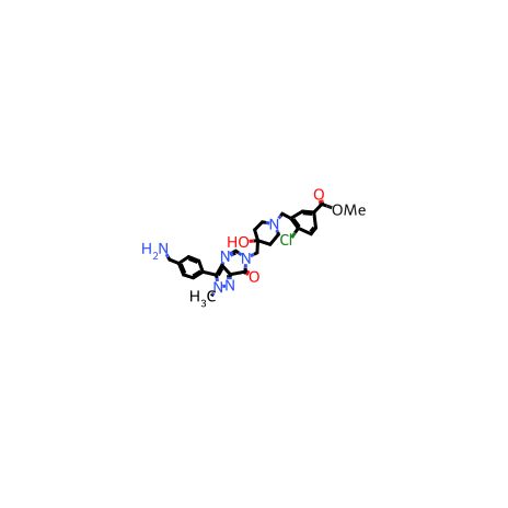 COC(=O)c1ccc(Cl)c(CN2CCC(O)(Cn3cnc4c(-c5ccc(CN)cc5)n(C)nc4c3=O)CC2)c1